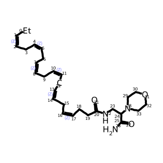 CC/C=C\C/C=C\C/C=C\C/C=C\C/C=C\C/C=C\CCC(=O)NCC(C(N)=O)N1CCOCC1